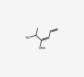 C=C/C=C(/OC)C(C)C#N